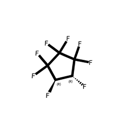 F[C@@H]1[C@@H](F)C(F)(F)C(F)(F)C1(F)F